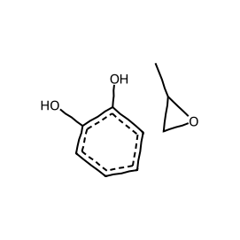 CC1CO1.Oc1ccccc1O